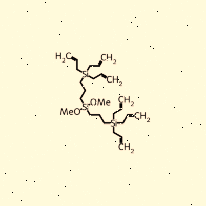 C=CC[Si](CC=C)(CC=C)CCC[Si](CCC[Si](CC=C)(CC=C)CC=C)(OC)OC